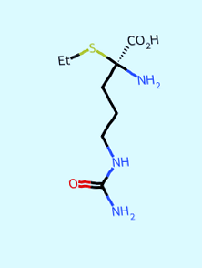 CCS[C@@](N)(CCCNC(N)=O)C(=O)O